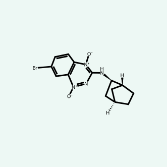 [O-][n+]1nc(N[C@@H]2C[C@@H]3CC[C@@H]2C3)[n+]([O-])c2ccc(Br)cc21